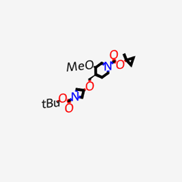 CO[C@H]1CN(C(=O)OC2(C)CC2)CC[C@H]1COC1CN(C(=O)OC(C)(C)C)C1